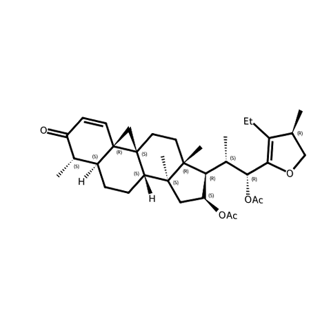 CCC1=C([C@H](OC(C)=O)[C@@H](C)[C@H]2[C@@H](OC(C)=O)C[C@@]3(C)[C@@H]4CC[C@H]5[C@H](C)C(=O)C=C[C@@]56C[C@@]46CC[C@]23C)OC[C@@H]1C